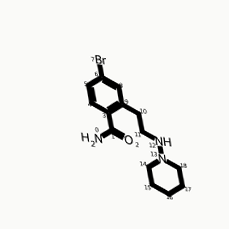 NC(=O)c1ccc(Br)cc1CCNN1CCCCC1